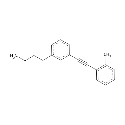 Cc1ccccc1C#Cc1cccc(CCCN)c1